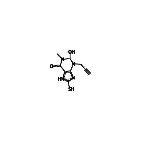 C#CCN1c2nc(S)[nH]c2C(=O)N(C)C1O